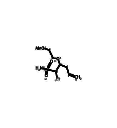 C=CCC(OCCOC)C(CC)S(N)(=O)=O